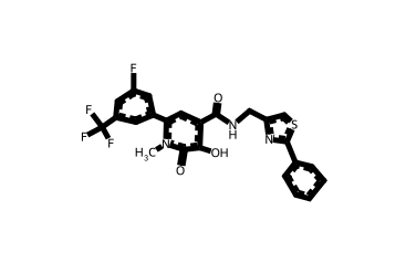 Cn1c(-c2cc(F)cc(C(F)(F)F)c2)cc(C(=O)NCc2csc(-c3ccccc3)n2)c(O)c1=O